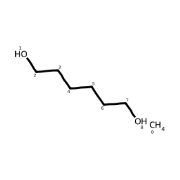 C.OCCCCCCO